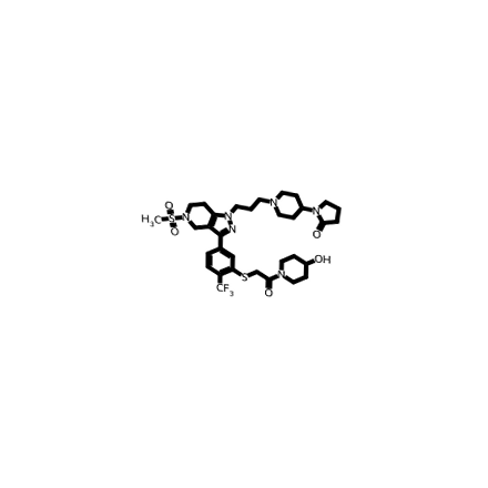 CS(=O)(=O)N1CCc2c(c(-c3ccc(C(F)(F)F)c(SCC(=O)N4CCC(O)CC4)c3)nn2CCCN2CCC(N3CCCC3=O)CC2)C1